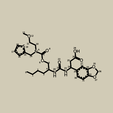 CCCCC(COC(=O)N(CCOC)Cc1cccs1)NC(=O)NC(CC(=O)O)c1ccc2c(c1)OCO2